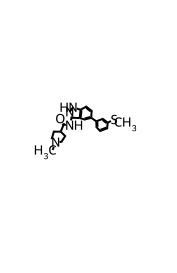 CSc1cccc(-c2ccc3[nH]nc(NC(=O)C4CCN(C)CC4)c3c2)c1